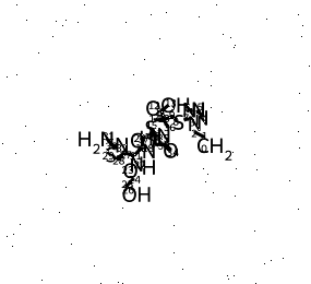 C=CCn1nnnc1SCC1(C(=O)O)CS[C@@H]2C(NC(=O)C(=NOCCO)c3csc(N)n3)C(=O)N2C1